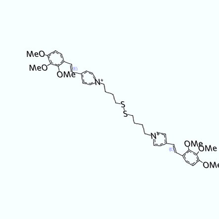 COc1ccc(/C=C/c2cc[n+](CCCCSSCCCC[n+]3ccc(/C=C/c4ccc(OC)c(OC)c4OC)cc3)cc2)c(OC)c1OC